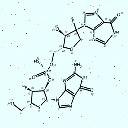 Nc1nc2c(ncn2[C@@H]2S[C@H](CO)[C@@H](F)[C@H]2O[P@](=O)(S)OC[C@H]2OCC(F)(n3cnc4c(=O)[nH]cnc43)[C@@H]2O)c(=O)[nH]1